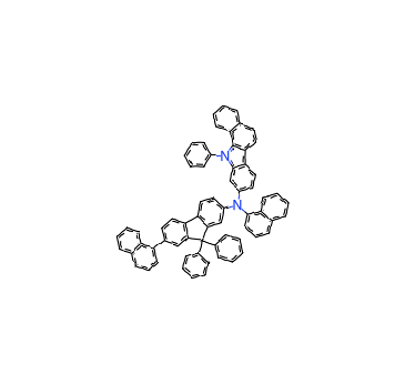 c1ccc(-n2c3cc(N(c4ccc5c(c4)C(c4ccccc4)(c4ccccc4)c4cc(-c6cccc7ccccc67)ccc4-5)c4cccc5ccccc45)ccc3c3ccc4ccccc4c32)cc1